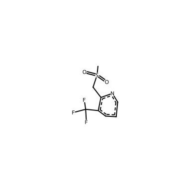 CS(=O)(=O)Cc1ncccc1C(F)(F)F